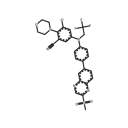 CS(=O)(=O)c1cnc2cc(-c3ccc(N(CC(F)(F)F)c4cc(Cl)c(N5CCOCC5)c(C#N)c4)cc3)ccc2n1